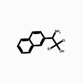 CCC(O)(CC)C(N)c1ccc2ccccc2c1